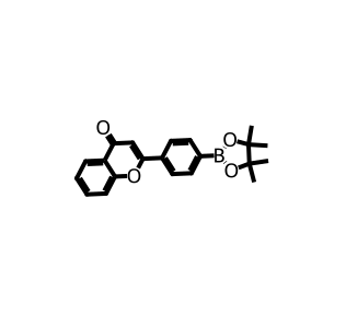 CC1(C)OB(c2ccc(-c3cc(=O)c4ccccc4o3)cc2)OC1(C)C